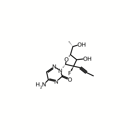 CC#C[C@@]1(F)C(O)[C@@H]([C@H](C)O)O[C@H]1n1ncc(N)nc1=O